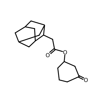 O=C1CCCC(OC(=O)CC2C3CC4CC(C3)CC2C4)C1